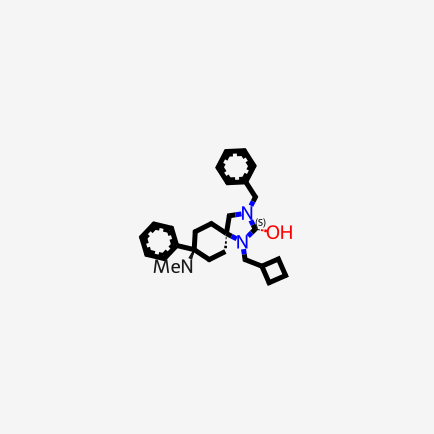 CN[C@]1(c2ccccc2)CC[C@]2(CC1)CN(Cc1ccccc1)[C@H](O)N2CC1CCC1